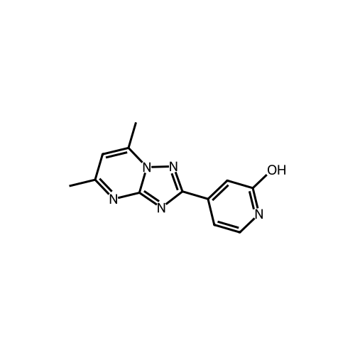 Cc1cc(C)n2nc(-c3ccnc(O)c3)nc2n1